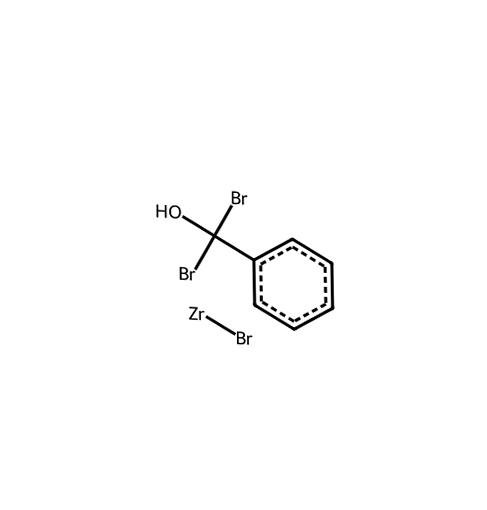 OC(Br)(Br)c1ccccc1.[Br][Zr]